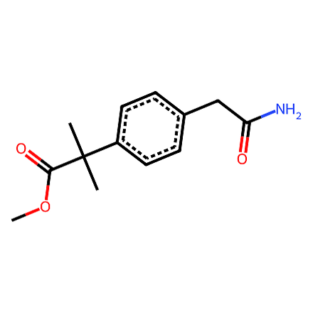 COC(=O)C(C)(C)c1ccc(CC(N)=O)cc1